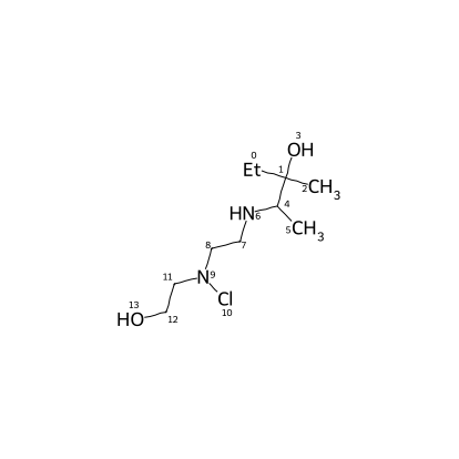 CCC(C)(O)C(C)NCCN(Cl)CCO